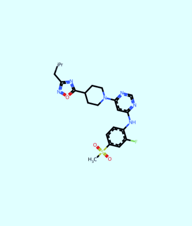 CC(C)Cc1noc(C2CCN(c3cc(Nc4ccc(S(C)(=O)=O)cc4F)ncn3)CC2)n1